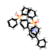 O=P(c1ccccc1)(c1ccccc1)c1ccc(-c2ccc(-c3ccccc3)cn2)c(P(=O)(c2ccccc2)c2ccccc2)c1